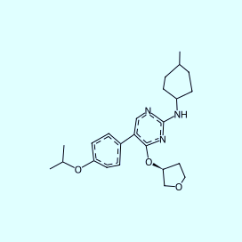 CC1CCC(Nc2ncc(-c3ccc(OC(C)C)cc3)c(O[C@H]3CCOC3)n2)CC1